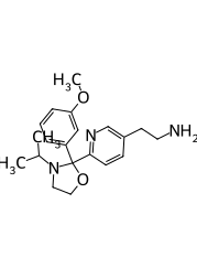 COc1cccc(C2(c3ccc(CCN)cn3)OCCN2C(C)C)c1